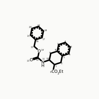 CCOC(=O)C1Cc2ccccc2CC1NC(=O)OCc1ccccc1